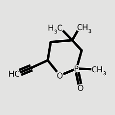 C#CC1CC(C)(C)CP(C)(=O)O1